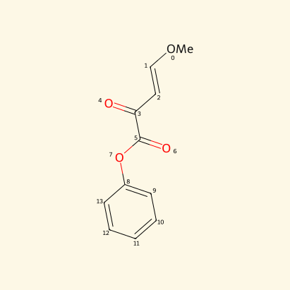 CO/C=C/C(=O)C(=O)Oc1ccccc1